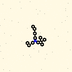 c1ccc(-c2c(-c3ccccc3)c3cc(N(c4ccc(-c5ccc(-c6ccc7ccccc7c6)cc5)cc4)c4ccc(-c5cccc6ccccc56)cc4)ccc3c3ccccc23)cc1